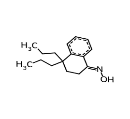 CCCC1(CCC)CCC(=NO)c2ccccc21